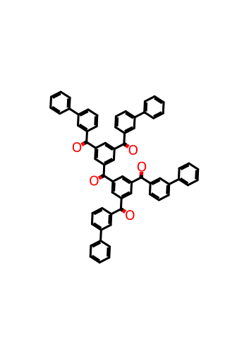 O=C(c1cc(C(=O)c2cccc(-c3ccccc3)c2)cc(C(=O)c2cccc(-c3ccccc3)c2)c1)c1cc(C(=O)c2cccc(-c3ccccc3)c2)cc(C(=O)c2cccc(-c3ccccc3)c2)c1